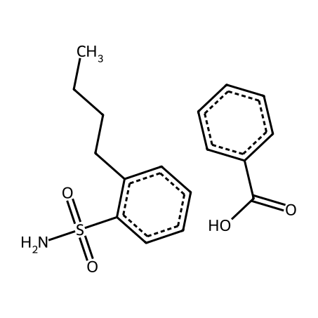 CCCCc1ccccc1S(N)(=O)=O.O=C(O)c1ccccc1